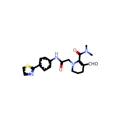 CN(C)C(=O)C1=C(C=O)CCCN1CC(=O)Nc1ccc(-c2nccs2)cc1